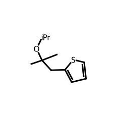 CC(C)OC(C)(C)Cc1cccs1